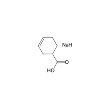 O=C(O)C1CC=CCC1.[NaH]